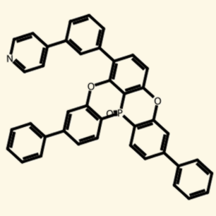 O=P12c3ccc(-c4ccccc4)cc3Oc3ccc(-c4cccc(-c5ccncc5)c4)c(c31)Oc1cc(-c3ccccc3)ccc12